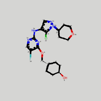 O[C@H]1CC[C@H](COc2nc(Nc3cnn(C4CCOCC4)c3Cl)ncc2F)CC1